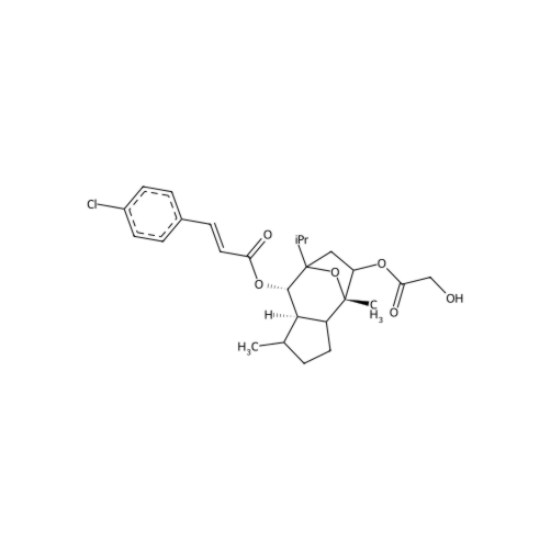 CC1CCC2[C@@H]1[C@H](OC(=O)/C=C/c1ccc(Cl)cc1)C1(C(C)C)CC(OC(=O)CO)[C@@]2(C)O1